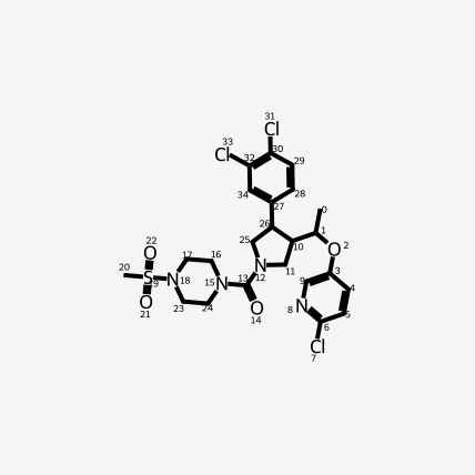 CC(Oc1ccc(Cl)nc1)C1CN(C(=O)N2CCN(S(C)(=O)=O)CC2)CC1c1ccc(Cl)c(Cl)c1